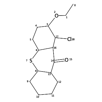 CCOC1CCC2SC3CCCCC3C(=O)C2C1Cl